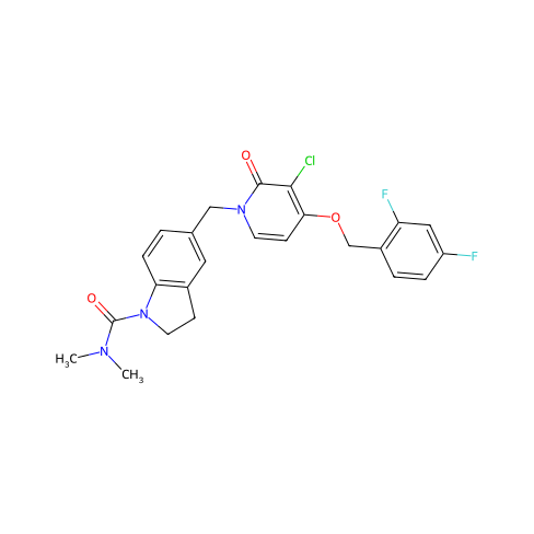 CN(C)C(=O)N1CCc2cc(Cn3ccc(OCc4ccc(F)cc4F)c(Cl)c3=O)ccc21